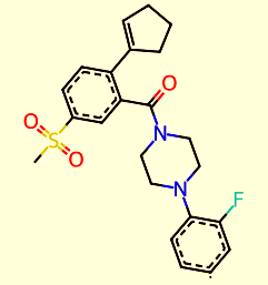 CS(=O)(=O)c1ccc(C2=CCCC2)c(C(=O)N2CCN(c3cc[c]cc3F)CC2)c1